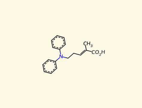 CC(=CCCN(c1ccccc1)c1ccccc1)C(=O)O